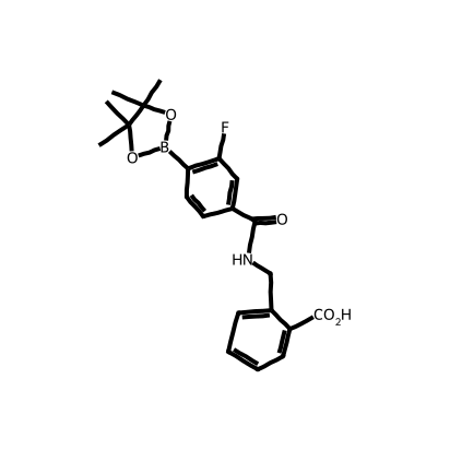 CC1(C)OB(c2ccc(C(=O)NCc3ccccc3C(=O)O)cc2F)OC1(C)C